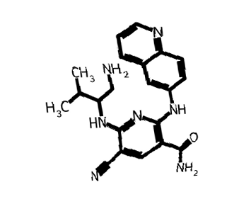 CC(C)C(CN)Nc1nc(Nc2ccc3ncccc3c2)c(C(N)=O)cc1C#N